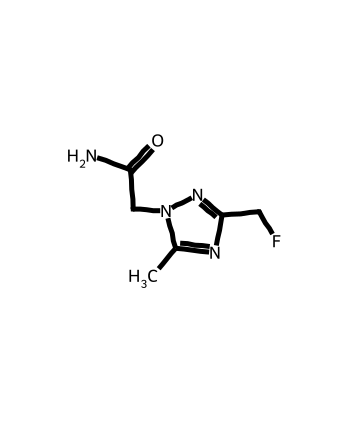 Cc1nc(CF)nn1CC(N)=O